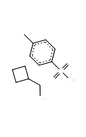 Cc1ccc(S(=O)(=O)O)cc1.OCC1CCC1